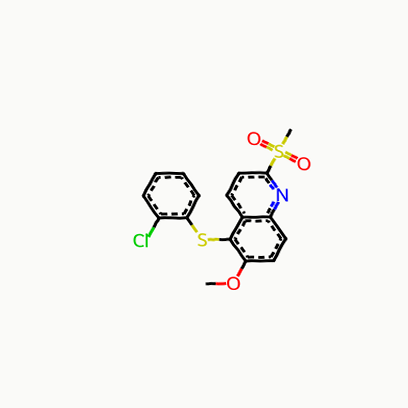 COc1ccc2nc(S(C)(=O)=O)ccc2c1Sc1ccccc1Cl